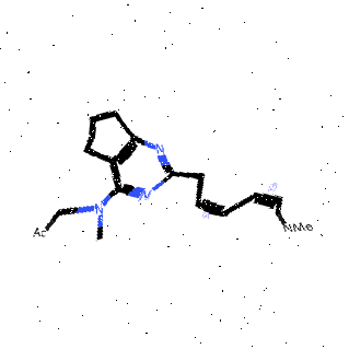 CN/C=C\C=C/Cc1nc2c(c(N(C)CC(C)=O)n1)CCC2